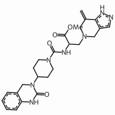 C=C1CN(CC(NC(=O)N2CCC(N3Cc4ccccc4NC3=O)CC2)C(=O)OC)Cc2cn[nH]c21